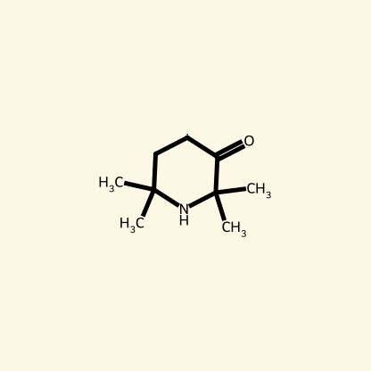 CC1(C)C[CH]C(=O)C(C)(C)N1